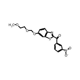 COCCOCOc1ccc2nc(C(=O)c3cccc([N+](=O)[O-])c3)sc2c1